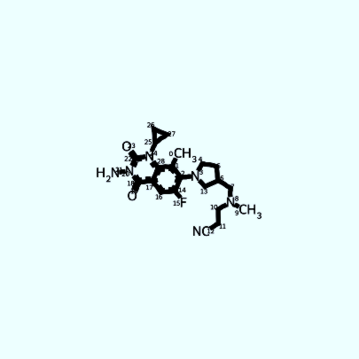 Cc1c(N2CCC(CN(C)CCC#N)C2)c(F)cc2c(=O)n(N)c(=O)n(C3CC3)c12